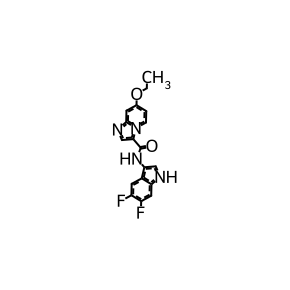 CCOc1ccn2c(C(=O)Nc3c[nH]c4cc(F)c(F)cc34)cnc2c1